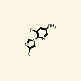 Cc1cn(-c2ncc(N)cc2F)cn1